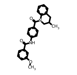 COc1cccc(C(=O)Nc2ccc(C(=O)N3CC(C)Cc4ccccc43)cc2)c1